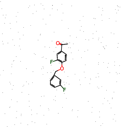 CC(=O)c1ccc(OCc2cccc(F)c2)c(F)c1